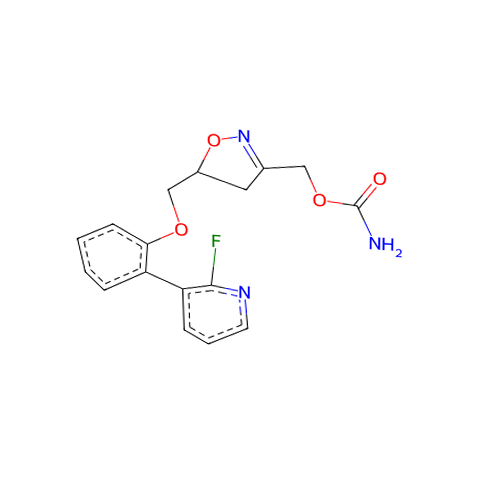 NC(=O)OCC1=NOC(COc2ccccc2-c2cccnc2F)C1